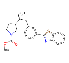 CC(C)(C)OC(=O)N1CC[C@H]([C@H](Cc2cccc(-c3nc4ccccc4s3)c2)C(=O)O)C1